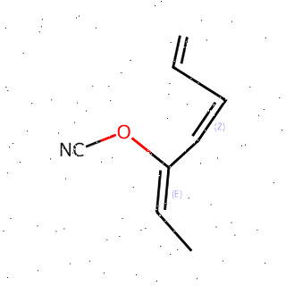 C=C/C=C\C(=C/C)OC#N